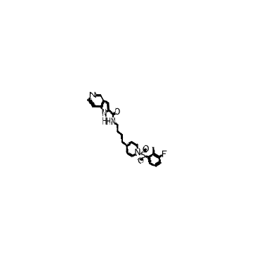 Cc1c(F)cccc1S(=O)(=O)N1CCC(CCCCNC(=O)c2cc3cnccc3[nH]2)CC1